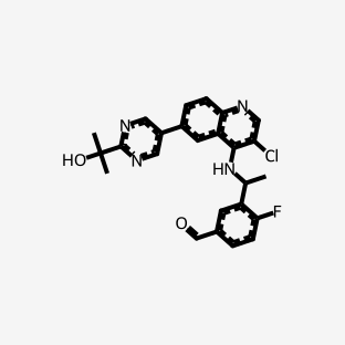 CC(Nc1c(Cl)cnc2ccc(-c3cnc(C(C)(C)O)nc3)cc12)c1cc(C=O)ccc1F